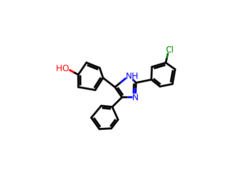 Oc1ccc(-c2[nH]c(-c3cccc(Cl)c3)nc2-c2ccccc2)cc1